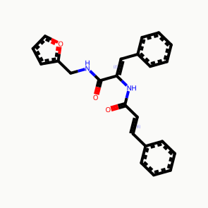 O=C(/C=C/c1ccccc1)N/C(=C\c1ccccc1)C(=O)NCc1ccco1